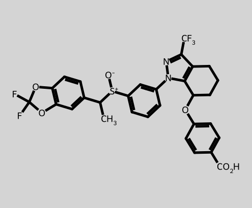 CC(c1ccc2c(c1)OC(F)(F)O2)[S+]([O-])c1cccc(-n2nc(C(F)(F)F)c3c2C(Oc2ccc(C(=O)O)cc2)CCC3)c1